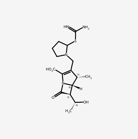 C[C@@H](O)[C@H]1C(=O)N2C(C(=O)O)=C(CN3CCCC3SC(=N)N)[C@H](C)[C@H]12